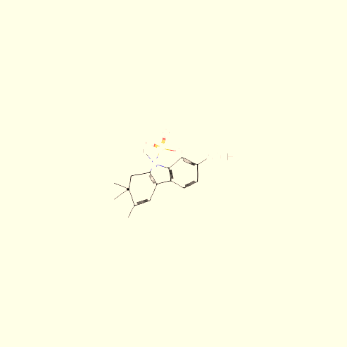 CC[N+]1(S(=O)(=O)[O-])C2=C(C=C(C)C(C)(C)C2)c2ccc(S(=O)(=O)O)cc21